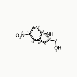 O=[N+]([O-])c1cnc2[nH]c(CO)cc2c1